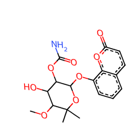 COC1C(O)C(OC(N)=O)C(Oc2cccc3ccc(=O)oc23)OC1(C)C